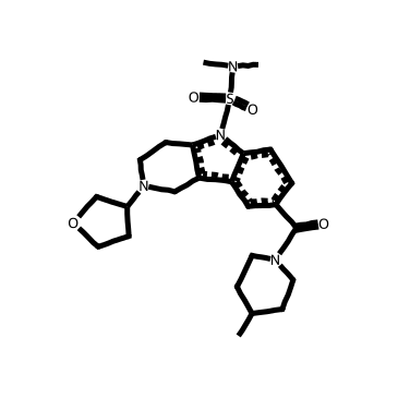 CC1CCN(C(=O)c2ccc3c(c2)c2c(n3S(=O)(=O)N(C)C)CCN(C3CCOC3)C2)CC1